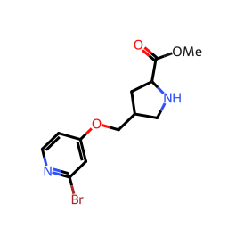 COC(=O)C1CC(COc2ccnc(Br)c2)CN1